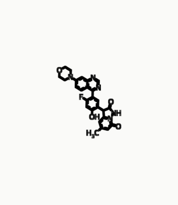 Cc1cc2n(c(=O)c1)NC(=O)C2c1cc(-c2ncnc3cc(N4CCOCC4)ccc23)c(F)cc1O